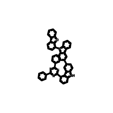 c1ccc(-c2nc(-c3ccccc3)nc(-c3cccc4[nH]c5ccc(-c6ccc7c(c6)c6ccccc6n7-c6cccc7c6oc6ccccc67)cc5c34)n2)cc1